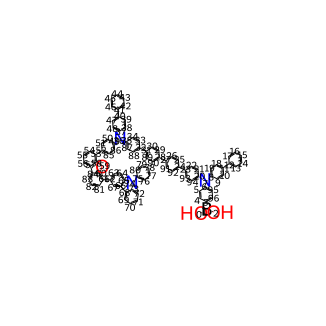 OB(O)c1ccc(N(c2ccc(-c3ccccc3)cc2)c2ccc(-c3ccc(-c4ccc(-c5ccc(N(c6ccc(-c7ccccc7)cc6)c6ccc(-c7cccc8c7oc7c(-c9ccc%10c(c9)c9ccccc9n%10-c9ccccc9)cccc78)cc6)cc5)cc4)cc3)cc2)cc1